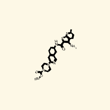 Cc1ccc2c(N)c(C(=O)NC3CCc4cc(N5CCN(C(=O)OC(C)(C)C)CC5)ncc4C3)sc2n1